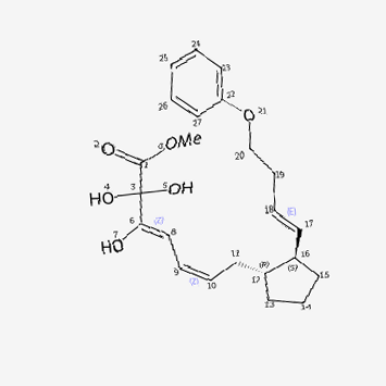 COC(=O)C(O)(O)/C(O)=C/C=C\C[C@H]1CCC[C@@H]1/C=C/CCOc1ccccc1